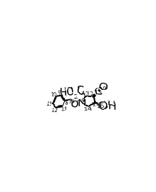 O=C=C1[C@@H](C(=O)O)N(OCc2ccccc2)C[C@@H]1O